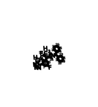 Cn1nnnc1-c1cc(F)cc(C(C2CN(C(c3ccccc3)c3ccccc3)C2)C(C)(C)F)c1